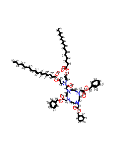 CCCCCCCCCCCCCCCC(=O)OCCN(CCOC(=O)CCCCCCCCCCCCCCC)C(=O)CN1CCN(CC(=O)OCc2ccccc2)CCN(CC(=O)OCc2ccccc2)CCN(CC(=O)OCc2ccccc2)CC1